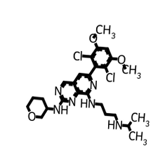 COc1cc(OC)c(Cl)c(-c2cc3cnc(NC4CCCOC4)nc3c(NCCCNC(C)C)n2)c1Cl